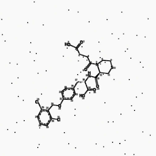 O=C(O)CCC(=O)N1CCSC[C@H]1C(=O)N[C@@H](Cc1ccc(OCc2c(Cl)cccc2Cl)cc1)C(=O)O